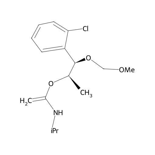 C=C(NC(C)C)O[C@H](C)[C@H](OCOC)c1ccccc1Cl